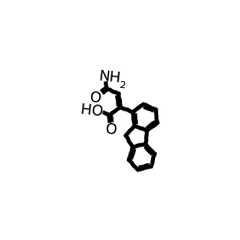 NC(=O)/C=C(\C(=O)O)c1cccc2c1Cc1ccccc1-2